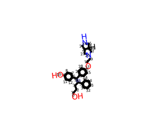 OCCC/C(=C(\c1ccc(O)cc1)c1ccc(OCCN2CC3CNC[C@H]3C2)cc1)c1ccccc1